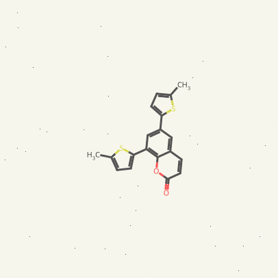 Cc1ccc(-c2cc(-c3ccc(C)s3)c3oc(=O)ccc3c2)s1